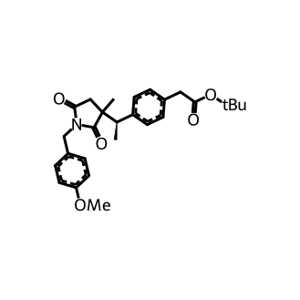 COc1ccc(CN2C(=O)CC(C)([C@H](C)c3ccc(CC(=O)OC(C)(C)C)cc3)C2=O)cc1